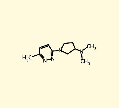 Cc1ccc(N2CCC(N(C)C)C2)nn1